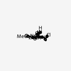 COC1CCC(COc2ccc(S(=O)(=O)NC(=O)c3ccc(N4CCN(CC5=C(c6ccc(Cl)cc6)CC(C)(C)CC5)CC4)cc3N3CCOc4nc5[nH]ccc5cc43)cc2[N+](=O)[O-])CC1